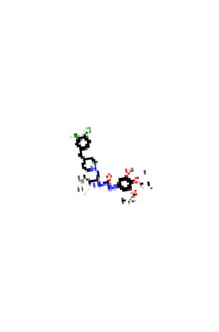 COc1cc(NC(=O)NC(CN2CCC(Cc3ccc(Cl)c(Cl)c3)CC2)C(C)C)cc(OC)c1OC